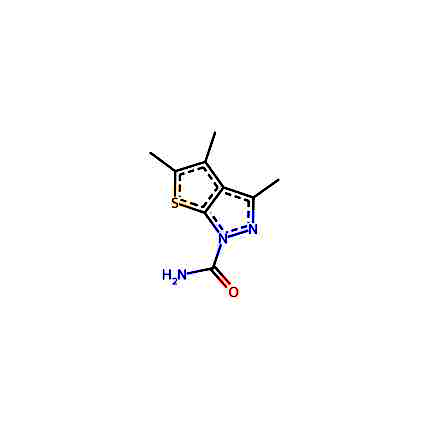 Cc1sc2c(c(C)nn2C(N)=O)c1C